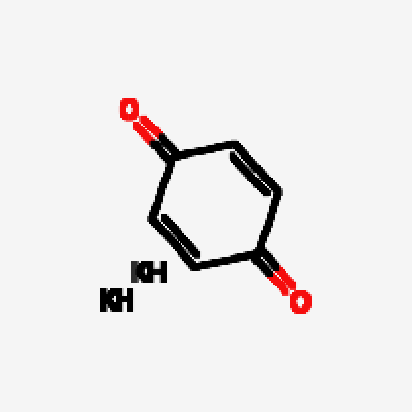 O=C1C=CC(=O)C=C1.[KH].[KH]